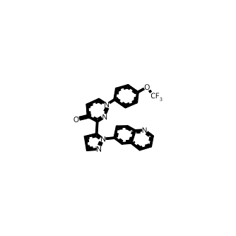 O=c1ccn(-c2ccc(OC(F)(F)F)cc2)nc1-c1ccnn1-c1ccc2ncccc2c1